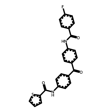 O=C(Nc1ccc(C(=O)c2ccc(NC(=O)c3cccs3)cc2)cc1)c1ccc(F)cc1